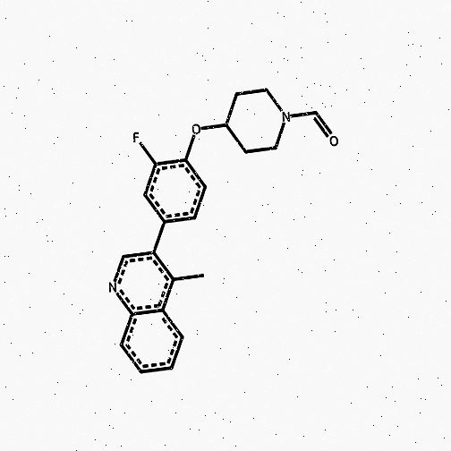 Cc1c(-c2ccc(OC3CCN(C=O)CC3)c(F)c2)cnc2ccccc12